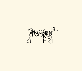 CCC(C)CNc1ccc(Cl)cc1C(=O)NC(Cc1ccc(-c2ccccc2OCc2ccccc2)cc1)C(=O)OC